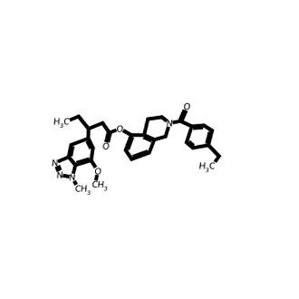 CCc1ccc(C(=O)N2CCc3c(cccc3OC(=O)CC(CC)c3cc(OC)c4c(c3)nnn4C)C2)cc1